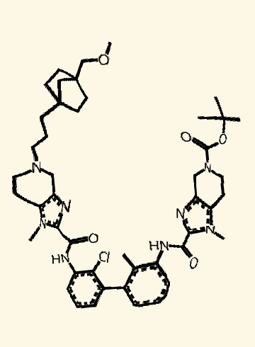 COCC12CCC(CCCN3CCc4c(nc(C(=O)Nc5cccc(-c6cccc(NC(=O)c7nc8c(n7C)CCN(C(=O)OC(C)(C)C)C8)c6C)c5Cl)n4C)C3)(CC1)C2